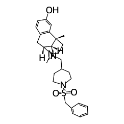 CN1CC[C@@]2(C)c3cc(O)ccc3C[C@@H]1[C@H]2N(C)CC1CCN(S(=O)(=O)Cc2ccccc2)CC1